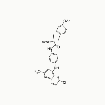 CC(=O)NC(I)(Cc1ccc(OC(C)=O)cc1)C(=O)Nc1ccc(Nc2cc(C(F)(F)F)nc3ccc(Cl)cc23)cc1